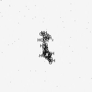 CC(C)C(N)C(=O)NC(CCCNC(N)=O)C(O)NCCOC(=O)Nc1ncnc2c1ncn2[C@@H]1O[C@@H]2COP(=O)(S)O[C@H]3[C@@H](F)[C@H](n4ccc(=O)[nH]c4=O)O[C@@H]3COP(=O)(O)O[C@H]2[C@H]1F